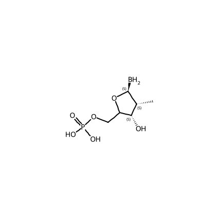 B[C@@H]1OC(COP(=O)(O)O)[C@@H](O)[C@H]1C